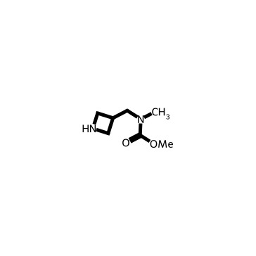 COC(=O)N(C)CC1CNC1